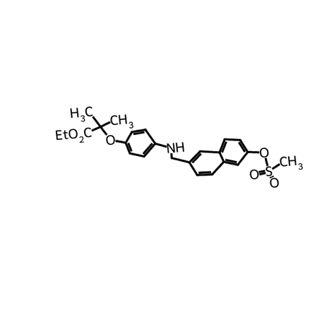 CCOC(=O)C(C)(C)Oc1ccc(NCc2ccc3cc(OS(C)(=O)=O)ccc3c2)cc1